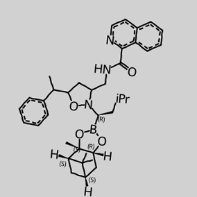 CC(C)C[C@@H](B1O[C@@H]2C[C@@H]3C[C@@H](C3(C)C)[C@]2(C)O1)N1OC(C(C)c2ccccc2)CC1CNC(=O)c1nccc2ccccc12